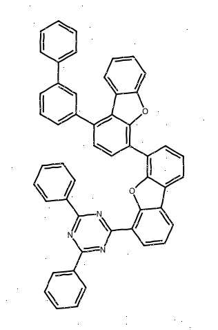 c1ccc(-c2cccc(-c3ccc(-c4cccc5c4oc4c(-c6nc(-c7ccccc7)nc(-c7ccccc7)n6)cccc45)c4oc5ccccc5c34)c2)cc1